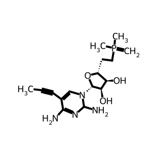 C=P(C)(C)CC[C@H]1O[C@@H](N2C=C(C#CC)C(N)=NC2N)[C@H](O)[C@@H]1O